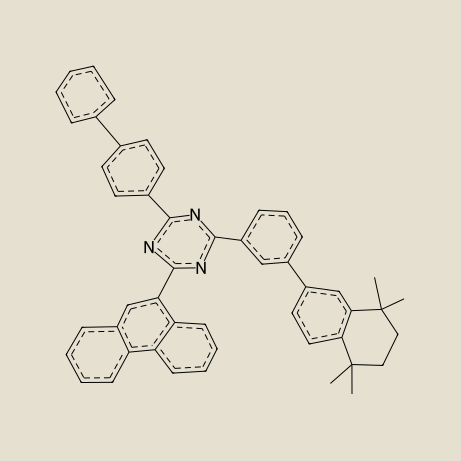 CC1(C)CCC(C)(C)c2cc(-c3cccc(-c4nc(-c5ccc(-c6ccccc6)cc5)nc(-c5cc6ccccc6c6ccccc56)n4)c3)ccc21